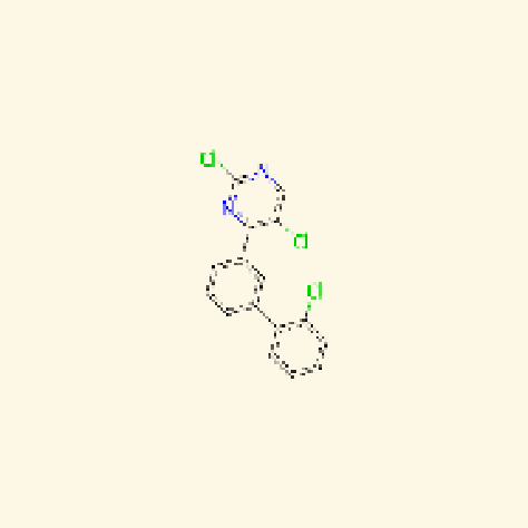 Clc1ncc(Cl)c(-c2cccc(-c3ccccc3Cl)c2)n1